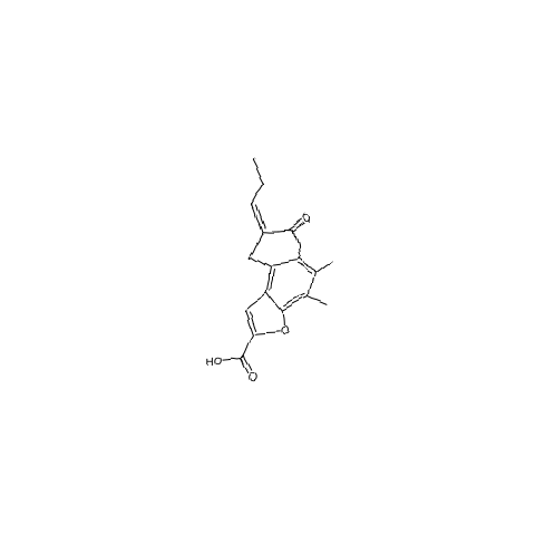 CCC=C1Cc2c(c(C)c(C)c3oc(C(=O)O)cc23)C1=O